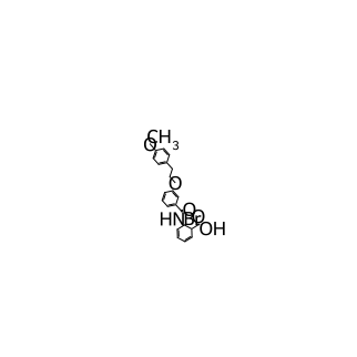 COc1ccc(CCOc2cccc(C(=O)NC3(Br)C=CC=CC3C(=O)O)c2)cc1